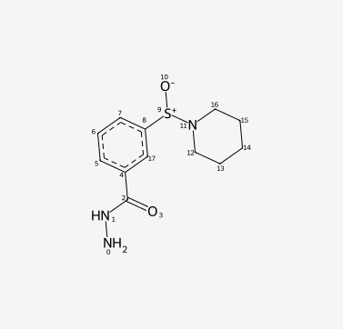 NNC(=O)c1cccc([S+]([O-])N2CCCCC2)c1